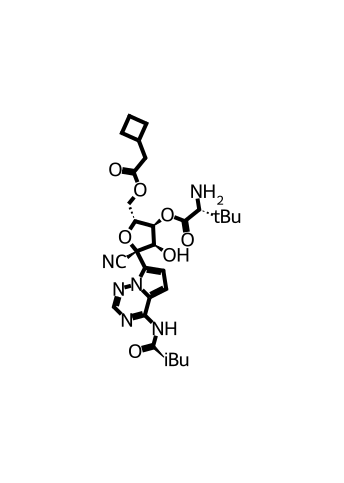 CC[C@H](C)C(=O)Nc1ncnn2c([C@]3(C#N)O[C@H](COC(=O)CC4CCC4)[C@@H](OC(=O)[C@H](N)C(C)(C)C)[C@H]3O)ccc12